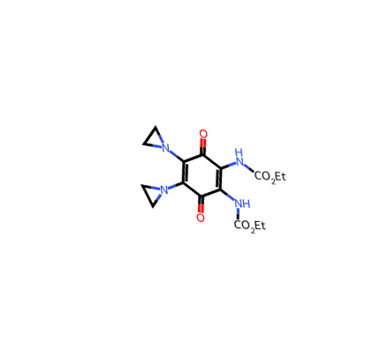 CCOC(=O)NC1=C(NC(=O)OCC)C(=O)C(N2CC2)=C(N2CC2)C1=O